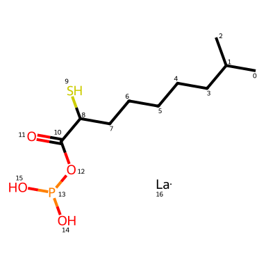 CC(C)CCCCCC(S)C(=O)OP(O)O.[La]